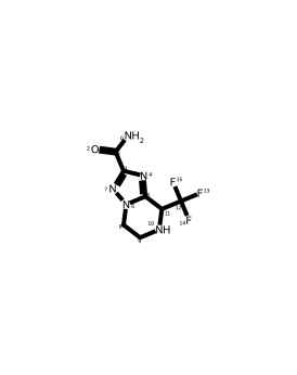 NC(=O)c1nc2n(n1)CCNC2C(F)(F)F